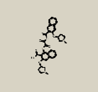 CN1CCC(Oc2cc3ccccc3cc2C(=O)OC(=O)C(=O)Oc2c(C(=O)O)c(OC3CCN(C)C3)cc3ccccc23)C1